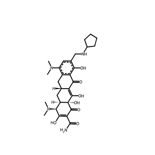 CN(C)c1cc(CNC2CCCC2)c(O)c2c1C[C@H]1C[C@@H]3[C@H](N(C)C)C(O)=C(C(N)=O)C(=O)[C@]3(O)C(O)=C1C2=O